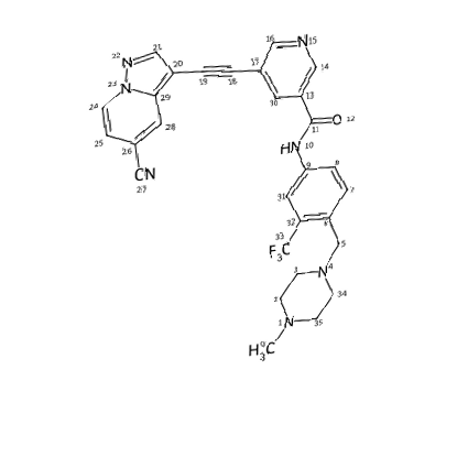 CN1CCN(Cc2ccc(NC(=O)c3cncc(C#Cc4cnn5ccc(C#N)cc45)c3)cc2C(F)(F)F)CC1